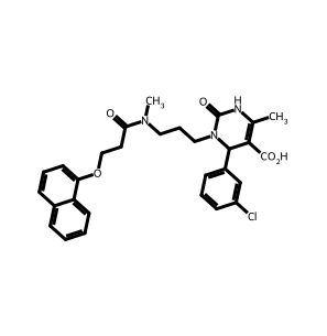 CC1=C(C(=O)O)C(c2cccc(Cl)c2)N(CCCN(C)C(=O)CCOc2cccc3ccccc23)C(=O)N1